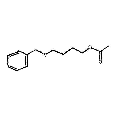 CC(=O)OCCCCSCc1ccccc1